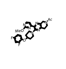 COc1nccc(-c2nc3c(nc2N2CCC(Oc4ccc(F)cc4F)CC2)CCN(C(C)=O)C3)n1